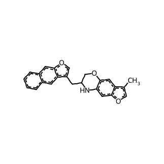 Cc1coc2cc3c(cc12)OCC(Cc1coc2cc4ccccc4cc12)N3